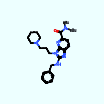 CCCCN(CCCC)C(=O)c1ccc2nc(NCc3ccccc3)n(CCCN3CCCCC3)c2n1